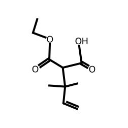 C=CC(C)(C)C(C(=O)O)C(=O)OCC